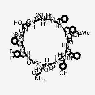 CCCC[C@H]1C(=O)N2C[C@@H](O)C[C@@H]2C(=O)N[C@@H](CC(=O)O)C(=O)N[C@@H](C(C)C)C(=O)N(C)[C@H](Cc2ccccc2)C(=O)N[C@@H](Cc2ccc(OC)cc2)C(=O)N2C[C@@H](O)C[C@@H]2C(=O)N[C@@H](Cc2c[nH]c3ccccc23)C(=O)N[C@@H](Cc2ccc(O)cc2)C(=O)N[C@@H](CC(C)C)C(=O)N[C@H](C(=O)NCC(N)=O)CSCC(=O)N[C@@H](Cc2ccc(F)c(F)c2)C(=O)N(C)[C@@H](Cc2ccccc2)C(=O)N1C